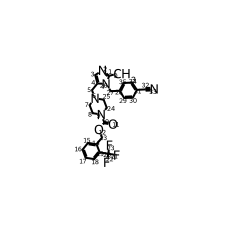 Cc1ncc(CN2CCN(C(=O)OCc3ccccc3C(F)(F)F)CC2)n1Cc1ccc(C#N)cc1